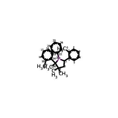 Cc1ccccc1C1CC(C)(C)C(C)(c2ccccc2C)P1c1ccccc1